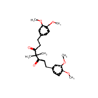 COc1ccc(CCC(=O)C(C)(C)C(=O)CCc2ccc(OC)c(OC)c2)cc1OC